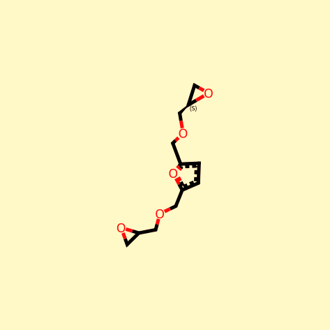 c1cc(COC[C@H]2CO2)oc1COCC1CO1